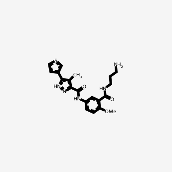 COc1ccc(NC(=O)c2n[nH]c(-c3ccsc3)c2C)cc1C(=O)NCCCN